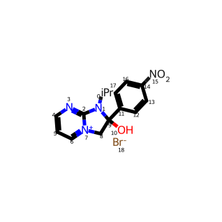 CC(C)N1c2nccc[n+]2CC1(O)c1ccc([N+](=O)[O-])cc1.[Br-]